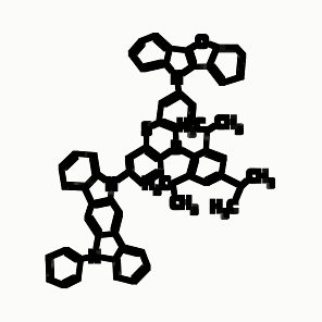 CC(C)c1cc(C(C)C)c(B2c3ccc(-n4c5ccccc5c5cc6c(cc54)c4ccccc4n6-c4ccccc4)cc3Sc3cc(-n4c5ccccc5c5oc6ccccc6c54)ccc32)c(C(C)C)c1